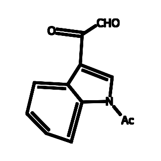 CC(=O)n1cc(C(=O)C=O)c2ccccc21